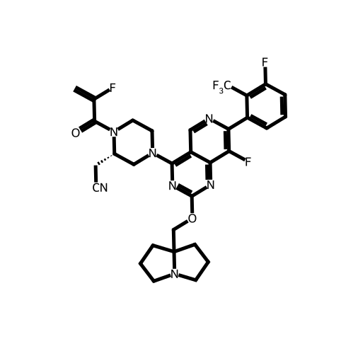 C=C(F)C(=O)N1CCN(c2nc(OCC34CCCN3CCC4)nc3c(F)c(-c4cccc(F)c4C(F)(F)F)ncc23)C[C@@H]1CC#N